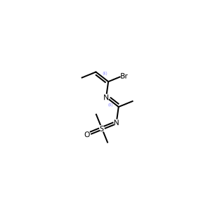 C/C=C(Br)\N=C(/C)N=S(C)(C)=O